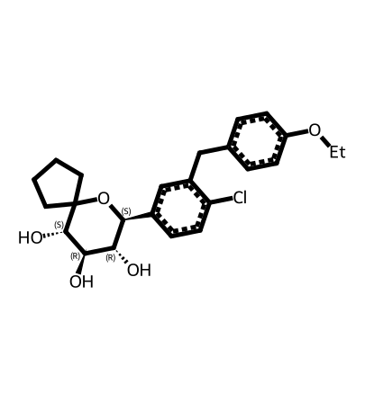 CCOc1ccc(Cc2cc([C@@H]3OC4(CCCC4)[C@@H](O)[C@H](O)[C@H]3O)ccc2Cl)cc1